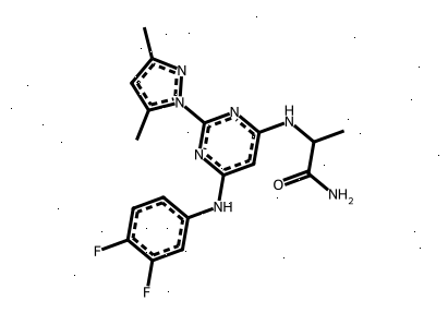 Cc1cc(C)n(-c2nc(Nc3ccc(F)c(F)c3)cc(NC(C)C(N)=O)n2)n1